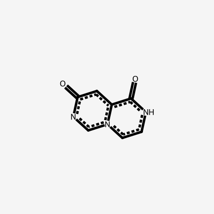 O=c1cc2c(=O)[nH]ccn2cn1